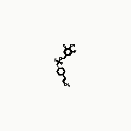 CC=C[C@H]1CC[C@H](CC(F)(F)OCc2cc(F)c(C#N)c(F)c2)CC1